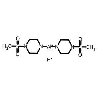 CS(=O)(=O)N1CC[N]([Al+][N]2CCN(S(C)(=O)=O)CC2)CC1.[H-]